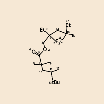 CCC(C)(COC(=O)C(C)(C)CC(C)C(C)(C)C)CC(C)(CC)C(F)(F)F